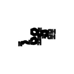 N#CCCN1CCC(Nc2c3c(nc4cc(O)c(O)nc24)CCCC3)CC1